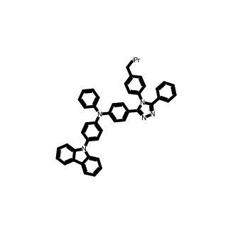 CC(C)Cc1ccc(-n2c(-c3ccccc3)nnc2-c2ccc(N(c3ccccc3)c3ccc(-n4c5ccccc5c5ccccc54)cc3)cc2)cc1